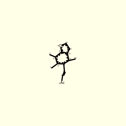 CC(=O)/C=C/c1c(C)c(C)c2occc2c1C